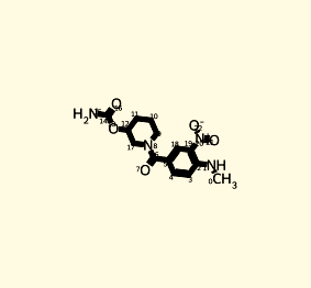 CNc1ccc(C(=O)N2CCCC(OC(N)=O)C2)cc1[N+](=O)[O-]